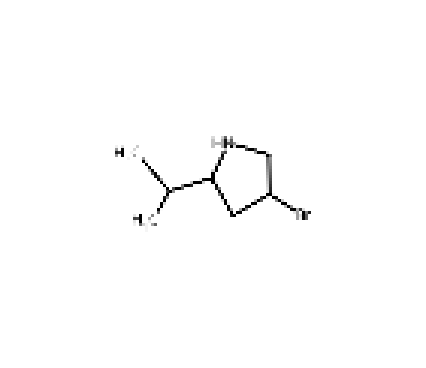 CC(C)C1CC(Br)CN1